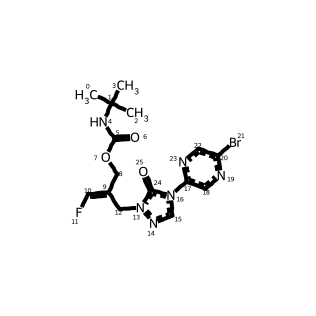 CC(C)(C)NC(=O)OC/C(=C/F)Cn1ncn(-c2cnc(Br)cn2)c1=O